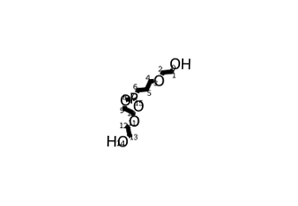 OCCOCCCP1OCC(OCCO)O1